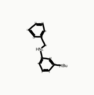 CC(C)(C)c1cccc(NCc2ccccc2)c1